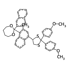 COc1ccc(C2(c3ccc(OC)cc3)SCC(c3cc(C)c(C4(c5ccc6ccccc6c5)OCCCCO4)c4ccccc34)S2)cc1